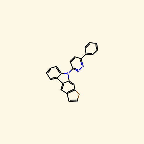 c1ccc(-c2ccc(-n3c4ccccc4c4cc5ccsc5cc43)nn2)cc1